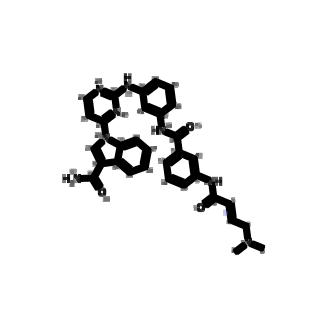 CN(C)C/C=C/C(=O)Nc1cccc(C(=O)Nc2cccc(Nc3nccc(-n4cc(C(N)=O)c5ccccc54)n3)c2)c1